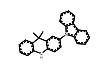 CC1(C)c2ccccc2Nc2ccc(-n3c4ccccc4c4ccccc43)cc21